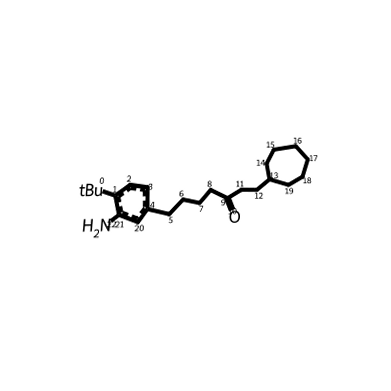 CC(C)(C)c1ccc(CCCCC(=O)CCC2CCCCCC2)cc1N